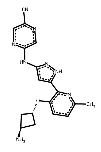 Cc1ccc(O[C@H]2C[C@H](N)C2)c(-c2cc(Nc3cnc(C#N)cn3)n[nH]2)n1